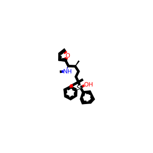 CN[C@H](c1ccco1)[C@@H](C)CCC(C)(C)[Si](O)(c1ccccc1)c1ccccc1